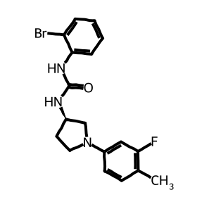 Cc1ccc(N2CC[C@@H](NC(=O)Nc3ccccc3Br)C2)cc1F